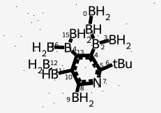 BBB(B)c1c(C(C)(C)C)nc(B)c(BB)c1B(B)B